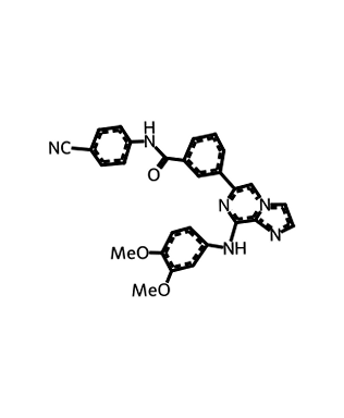 COc1ccc(Nc2nc(-c3cccc(C(=O)Nc4ccc(C#N)cc4)c3)cn3ccnc23)cc1OC